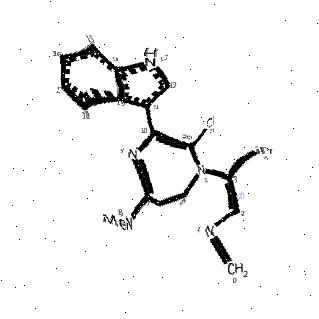 C=N/C=C(/C(C)C)N1CC(NC)=NC(c2c[nH]c3ccccc23)=C1Cl